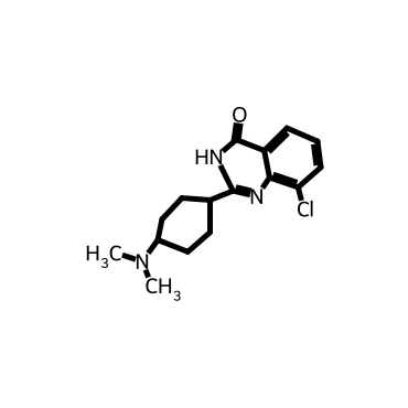 CN(C)C1CCC(c2nc3c(Cl)cccc3c(=O)[nH]2)CC1